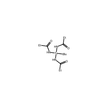 CCC(=O)[NH][Ta]([NH]C(=O)CC)([NH]C(=O)CC)[C](C)(C)C